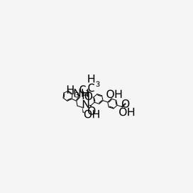 CC(C)Oc1ccc(-c2ccc(C(=O)O)cc2O)cc1C(=O)N[C@@H](CO)Cc1c[nH]c2ccccc12